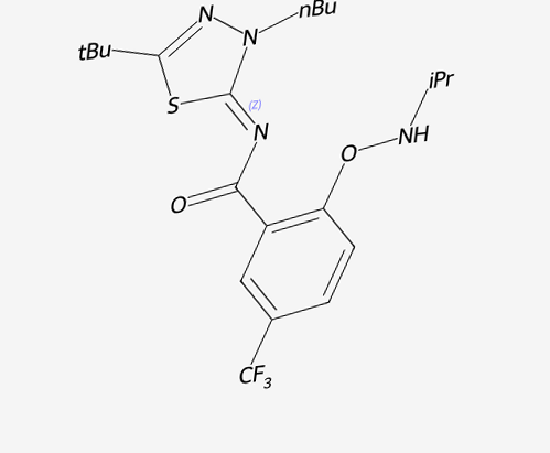 CCCCn1nc(C(C)(C)C)s/c1=N\C(=O)c1cc(C(F)(F)F)ccc1ONC(C)C